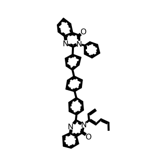 C=C/C(=C\C=C/C)n1c(-c2ccc(-c3ccc(-c4ccc(-c5nc6ccccc6c(=O)n5-c5ccccc5)cc4)cc3)cc2)nc2ccccc2c1=O